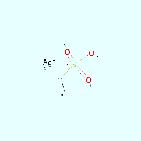 CCS(=O)(=O)[O-].[Ag+]